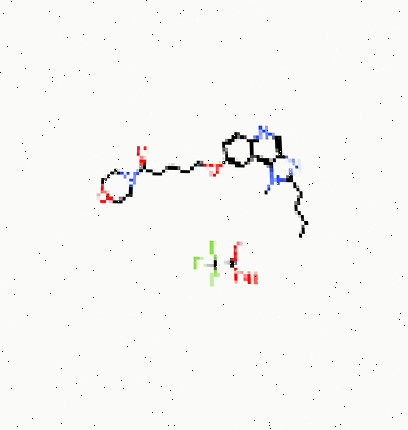 CCCCc1nc2cnc3ccc(OCCCCC(=O)N4CCOCC4)cc3c2n1C.O=C(O)C(F)(F)F